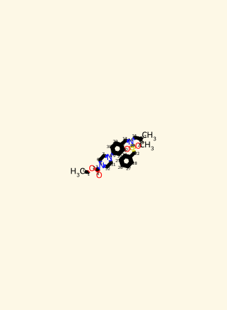 CCOC(=O)N1CCN(c2ccc(CN(CC(C)C)S(=O)(=O)Cc3ccccc3)cc2)CC1